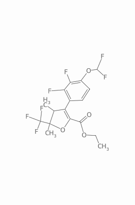 CCOC(=O)C1=C(c2ccc(OC(F)F)c(F)c2F)C(C)C(C)(C(F)(F)F)O1